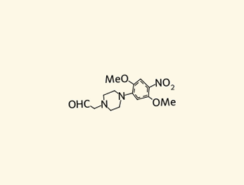 COc1cc([N+](=O)[O-])c(OC)cc1N1CCN(CC=O)CC1